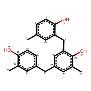 Cc1ccc(O)c(Cc2cc(Cc3ccc(O)c(C)c3)cc(C)c2O)c1